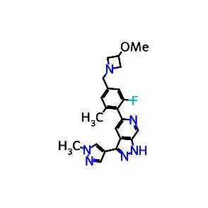 COC1CN(Cc2cc(C)c(-c3cc4c(-c5cnn(C)c5)n[nH]c4cn3)c(F)c2)C1